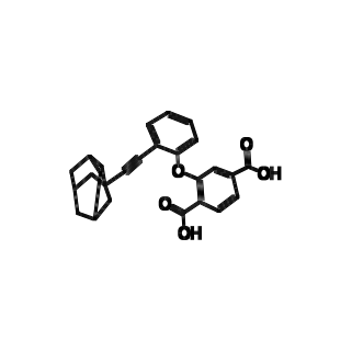 O=C(O)c1ccc(C(=O)O)c(Oc2ccccc2C#CC23CC4CC(CC(C4)C2)C3)c1